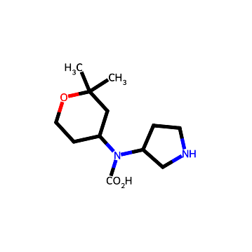 CC1(C)CC(N(C(=O)O)C2CCNC2)CCO1